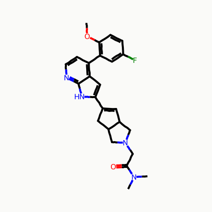 COc1ccc(F)cc1-c1ccnc2[nH]c(C3=CC4CN(CC(=O)N(C)C)CC4C3)cc12